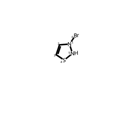 BrN1C=CSN1